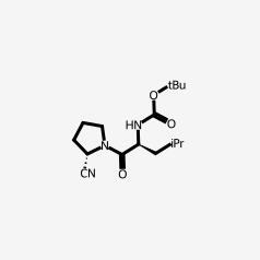 CC(C)C[C@H](NC(=O)OC(C)(C)C)C(=O)N1CCC[C@H]1C#N